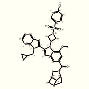 COc1cc(C(=O)N2CC3CC4CC2[C@H]43)cc2nc(-c3cc4cccnc4n3CC3CC3)n(C3CN(S(=O)(=O)c4ccc(Cl)nc4)C3)c12